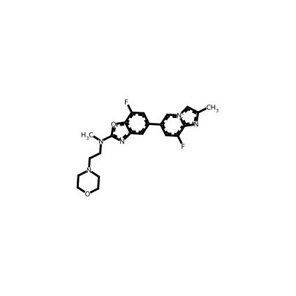 Cc1cn2cc(-c3cc(F)c4oc(N(C)CCN5CCOCC5)nc4c3)cc(F)c2n1